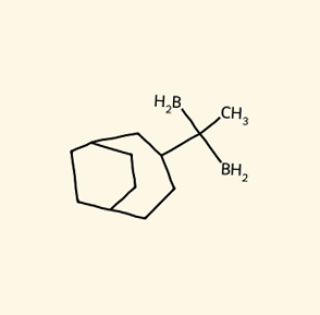 BC(B)(C)C1CCC2CCC(CC2)C1